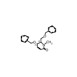 CN1C(=O)C=C[C@H](OCc2ccccc2)[C@H]1COCc1ccccc1